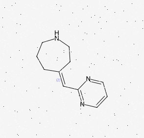 C(=C1\CCCNCC1)/c1ncccn1